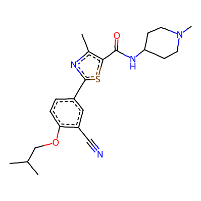 Cc1nc(-c2ccc(OCC(C)C)c(C#N)c2)sc1C(=O)NC1CCN(C)CC1